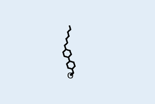 CCCCCCCC1CCC(C2CCC(C=O)CC2)CC1